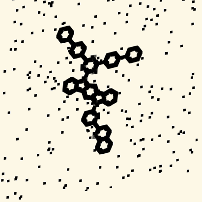 c1ccc(-c2ccc(-c3nc(-c4ccc(-c5ccccc5)cc4)nc(-n4c5ccccc5c5cc6c(cc54)c4ccccc4n6-c4cccc(-c5ccc6ccccc6n5)n4)n3)cc2)cc1